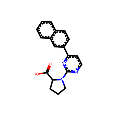 O=C(O)C1CCCN1c1nccc(-c2ccc3ccccc3c2)n1